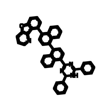 c1ccc(C2=NC(c3ccc(-c4ccc(-c5cccc6oc7cccnc7c56)c5ccccc45)c4ccccc34)=NC(c3ccccc3)N2)cc1